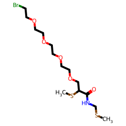 CSCNC(=O)C(COCCOCCOCCOCCBr)SC